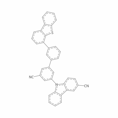 N#Cc1cc(-c2cccc(-c3cccc4c3sc3ccccc34)c2)cc(-n2c3ccccc3c3cc(C#N)ccc32)c1